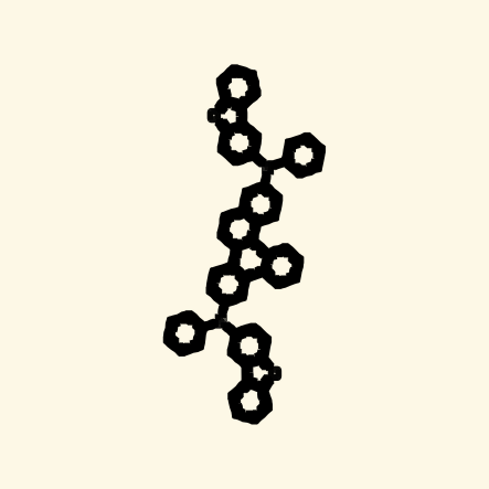 c1ccc(N(c2ccc3c(ccc4c5ccc(N(c6ccccc6)c6ccc7oc8ccccc8c7c6)cc5c5ccccc5c34)c2)c2ccc3oc4ccccc4c3c2)cc1